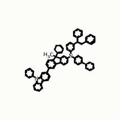 CC1(C2=CC=CCC2)c2ccc(-c3ccc4c5ccccc5n(-c5ccccc5)c4c3)cc2-c2ccc(N(c3ccc(-c4ccccc4)cc3)c3cccc(C(Cc4c#cccc4)c4ccccc4)c3)cc21